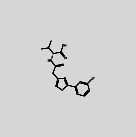 CC(C)[C@@H](NC(=O)Cc1csc(-c2cccc(Br)c2)n1)C(=O)O